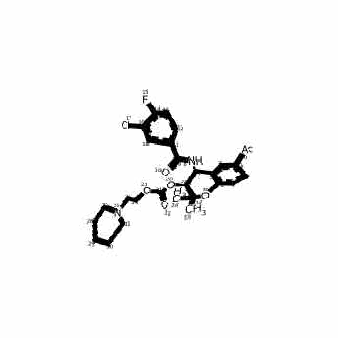 CC(=O)c1ccc2c(c1)[C@@H](NC(=O)c1ccc(F)c(Cl)c1)[C@H](OC(=O)OCCN1CCCCC1)C(C)(C)O2